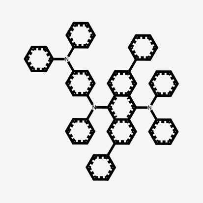 c1ccc(-c2ccc3c(N(c4ccccc4)c4ccc(N(c5ccccc5)c5ccccc5)cc4)c4cc(-c5ccccc5)ccc4c(N(c4ccccc4)c4ccccc4)c3c2)cc1